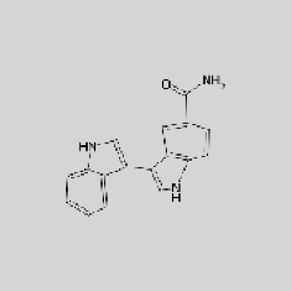 NC(=O)c1ccc2[nH]cc(-c3c[nH]c4ccccc34)c2c1